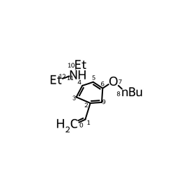 C=Cc1cccc(OCCCC)c1.CCNCC